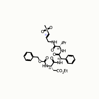 CCOC(=O)C[C@H](NC(=O)OCc1ccccc1)C(=O)N[C@H](C(=O)N[C@H](C(=O)NC/C=C/S(C)(=O)=O)C(C)C)c1ccccc1